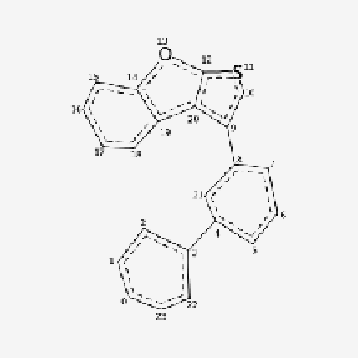 c1ccc(-c2cccc(-c3csc4oc5ccccc5c34)c2)cc1